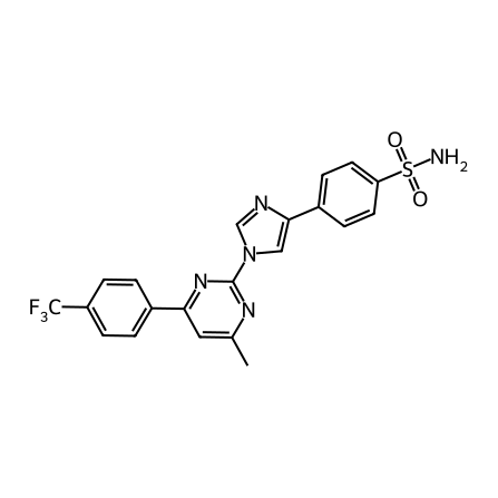 Cc1cc(-c2ccc(C(F)(F)F)cc2)nc(-n2cnc(-c3ccc(S(N)(=O)=O)cc3)c2)n1